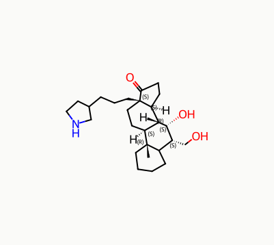 C[C@]12CCCCC1[C@@H](CO)[C@@H](O)[C@H]1[C@@H]3CCC(=O)[C@@]3(CCCC3CCNC3)CC[C@@H]12